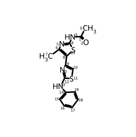 CC(=O)Nc1nc(C)c(-c2csc(Nc3ccccc3)n2)s1